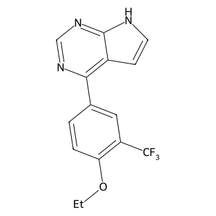 CCOc1ccc(-c2ncnc3[nH]ccc23)cc1C(F)(F)F